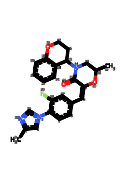 Cc1cn(-c2ccc(C=C3OC(C)CN(C4CCOc5ccccc54)C3=O)cc2F)cn1